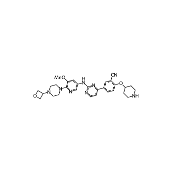 COc1cc(Nc2nccc(-c3ccc(OC4CCNCC4)c(C#N)c3)n2)cnc1N1CCN(C2COC2)CC1